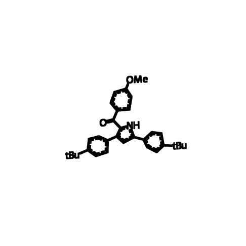 COc1ccc(C(=O)c2[nH]c(-c3ccc(C(C)(C)C)cc3)cc2-c2ccc(C(C)(C)C)cc2)cc1